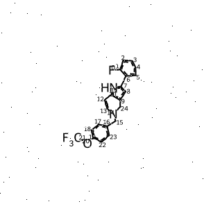 Fc1ccccc1-c1cc2c([nH]1)C=CN(Cc1ccc(OC(F)(F)F)cc1)C2